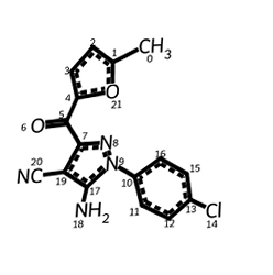 Cc1ccc(C(=O)c2nn(-c3ccc(Cl)cc3)c(N)c2C#N)o1